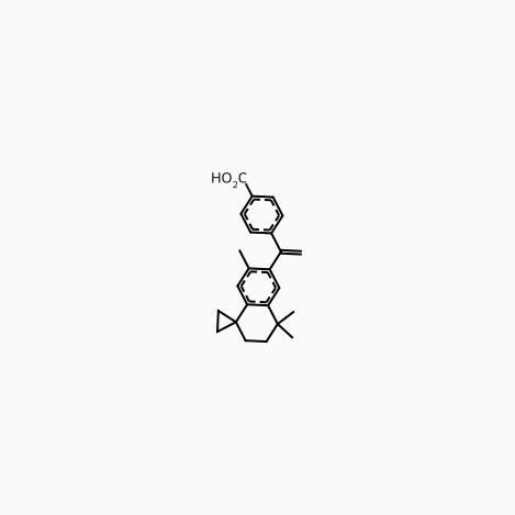 C=C(c1ccc(C(=O)O)cc1)c1cc2c(cc1C)C1(CCC2(C)C)CC1